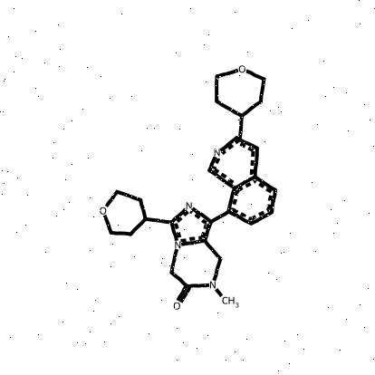 CN1Cc2c(-c3cccc4cc(C5CCOCC5)ncc34)nc(C3CCOCC3)n2CC1=O